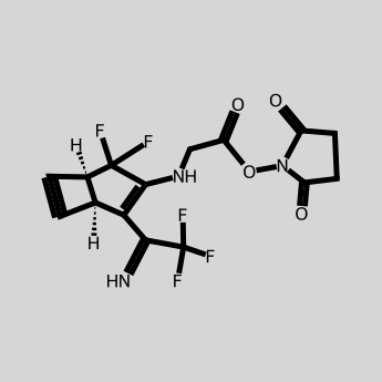 N=C(C1=C(NCC(=O)ON2C(=O)CCC2=O)C(F)(F)[C@@H]2C#C[C@H]12)C(F)(F)F